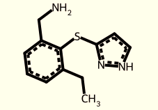 CCc1cccc(CN)c1Sc1cc[nH]n1